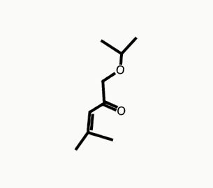 CC(C)=CC(=O)COC(C)C